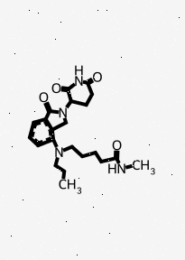 CCCN(CCCCC(=O)NC)c1cccc2c1CN(C1CCC(=O)NC1=O)C2=O